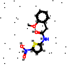 COc1ccccc1CC(=O)Nc1ccc([N+](=O)[O-])s1